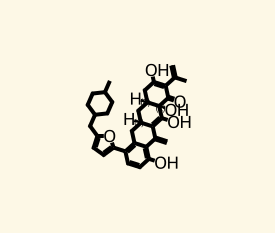 C=C(C)C1=C(O)C[C@H]2C[C@H]3Cc4c(-c5ccc(CC6CCC(C)CC6)o5)ccc(O)c4C(=C)C3=C(O)[C@@]2(O)C1=O